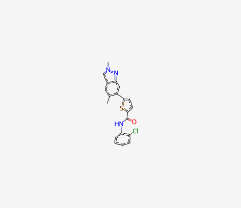 Cc1cc2cn(C)nc2cc1-c1ccc(C(=O)Nc2ccccc2Cl)s1